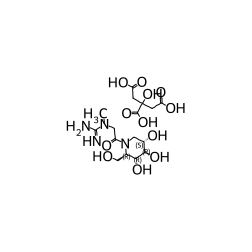 CN(CC(=O)N1C[C@H](O)[C@@H](O)[C@H](O)[C@H]1CO)C(=N)N.O=C(O)CC(O)(CC(=O)O)C(=O)O